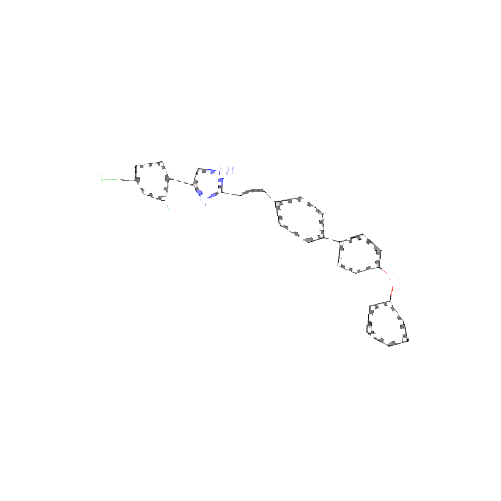 Clc1ccc(-c2c[nH]c(/C=C/c3ccc(-c4ccc(Oc5ccccc5)cc4)cc3)n2)c(Cl)c1